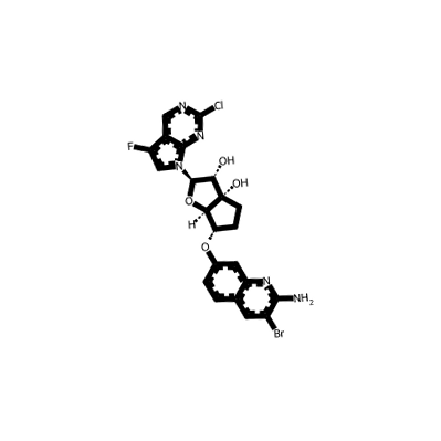 Nc1nc2cc(O[C@H]3CC[C@@]4(O)[C@@H]3O[C@@H](n3cc(F)c5cnc(Cl)nc53)[C@@H]4O)ccc2cc1Br